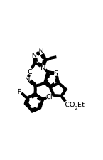 CCOC(=O)C1Cc2sc3c(c2C1)C(c1c(F)cccc1Cl)=NCc1nnc(C)n1-3